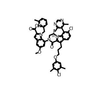 COc1cc(N2C[C@@H](C)n3c(c(CCCOc4cc(C)c(Cl)c(C)c4)c4ccc(Cl)c(-c5c(C)ncnc5C)c43)C2=O)c2c(c1)cc(C(=O)O)n2Cc1cccc(C)n1